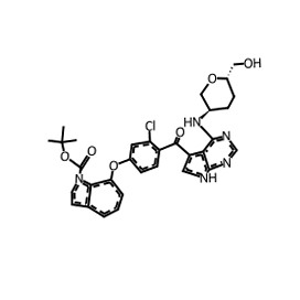 CC(C)(C)OC(=O)n1ccc2cccc(Oc3ccc(C(=O)c4c[nH]c5ncnc(N[C@@H]6CC[C@@H](CO)OC6)c45)c(Cl)c3)c21